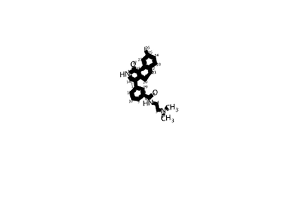 CN(C)CCNC(=O)c1cccc(-c2c[nH]c(=O)c3c2ccc2ccc(I)cc23)c1